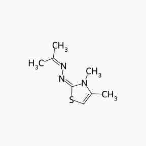 CC(C)=NN=c1scc(C)n1C